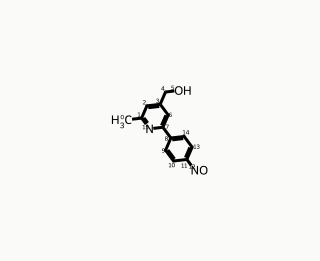 Cc1cc(CO)cc(-c2ccc(N=O)cc2)n1